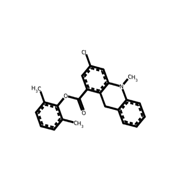 Cc1cccc(C)c1OC(=O)c1cc(Cl)cc2c1Cc1ccccc1N2C